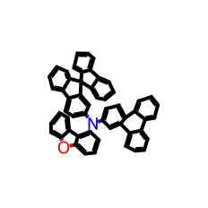 c1ccc2c(c1)-c1ccccc1C21c2ccccc2-c2ccc(N(c3ccc4c5ccccc5c5ccccc5c4c3)c3cccc4oc5ccccc5c34)cc21